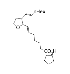 C1CCCC1.CCCCCCC=CC1CCOC1C=CCCCCC(=O)O